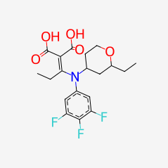 CCC(=C(C(=O)O)C(=O)O)N(c1cc(F)c(F)c(F)c1)C1CCOC(CC)C1